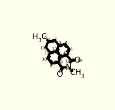 CC1=Cc2ccc3c4c(ccc(c24)C1)C(=O)N(C)C3=O